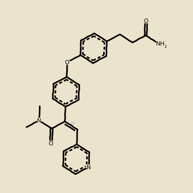 CN(C)C(=O)/C(=C\c1cccnc1)c1ccc(Oc2ccc(CCC(N)=O)cc2)cc1